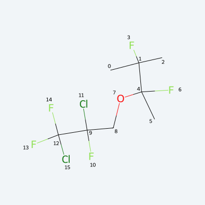 CC(C)(F)C(C)(F)OCC(F)(Cl)C(F)(F)Cl